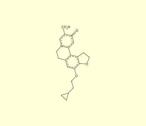 O=C(O)c1cn2c(cc1=O)-c1c(cc(OCCC3CC3)c3c1CCO3)CC2